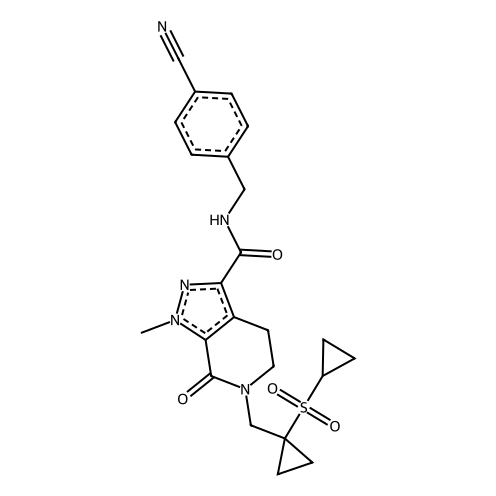 Cn1nc(C(=O)NCc2ccc(C#N)cc2)c2c1C(=O)N(CC1(S(=O)(=O)C3CC3)CC1)CC2